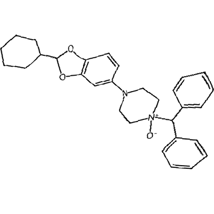 [O-][N+]1(C(c2ccccc2)c2ccccc2)CCN(c2ccc3c(c2)OC(C2CCCCC2)O3)CC1